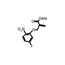 C=C(COc1cc(F)ccc1[N+](=O)[O-])C(=O)OC